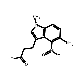 Cn1cc(CCC(=O)O)c2c([N+](=O)[O-])c(N)ccc21